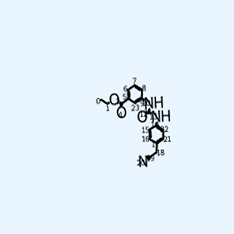 CCOC(=O)c1cccc(NC(=O)Nc2ccc(CC#N)cc2)c1